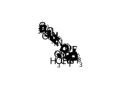 CC(C)(C)N(C(=O)O)[C@H]1C[C@@H](N2Cc3cn(S(=O)(=O)C4CCOC4)nc3C2)CO[C@@H]1c1cc(F)ccc1F